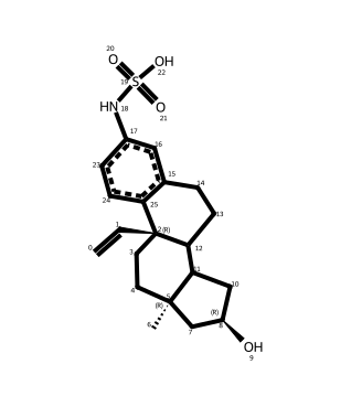 C=C[C@]12CC[C@]3(C)C[C@H](O)CC3C1CCc1cc(NS(=O)(=O)O)ccc12